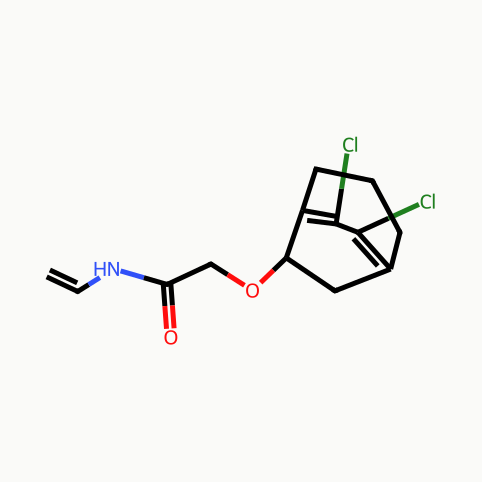 C=CNC(=O)COC1CC2=C(Cl)C(Cl)=C1CCC2